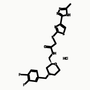 Cc1nnc(-c2csc(SCC(=O)NC[C@H]3CN(Cc4ccc(F)c(F)c4)CCO3)n2)[nH]1.Cl